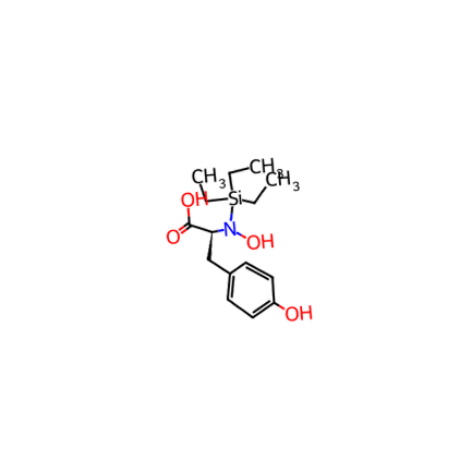 CC[Si](CC)(CC)N(O)[C@@H](Cc1ccc(O)cc1)C(=O)O